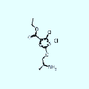 CCOC(=O)c1nc(OC[C@H](C)N)sc1Cl.Cl